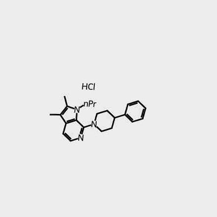 CCCn1c(C)c(C)c2ccnc(N3CCC(c4ccccc4)CC3)c21.Cl